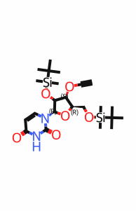 C#CO[C@@H]1C(O[Si](C)(C)C(C)(C)C)[C@H](n2ccc(=O)[nH]c2=O)O[C@@H]1CO[Si](C)(C)C(C)(C)C